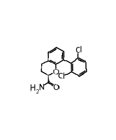 NC(=O)[C@H]1CCc2cccc(-c3c(Cl)cccc3Cl)c2O1